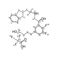 CC(C)(CC1Cc2ccccc2C1)NC[C@@H](O)c1cc(CCCC(=O)O)cc(F)c1F.O=C(O)C(F)(F)F